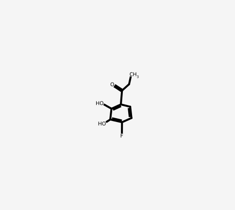 CCC(=O)c1ccc(F)c(O)c1O